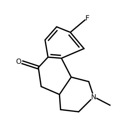 CN1CCC2CC(=O)c3ccc(F)cc3C2C1